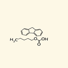 CCCCCOC(=O)O.c1ccc2c(c1)Cc1ccccc1-2